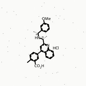 COc1cccc([C@@H](C)N[C@H](C)c2cc(-c3ccc(C)c(C(=O)O)c3)c3ccccc3n2)c1.Cl